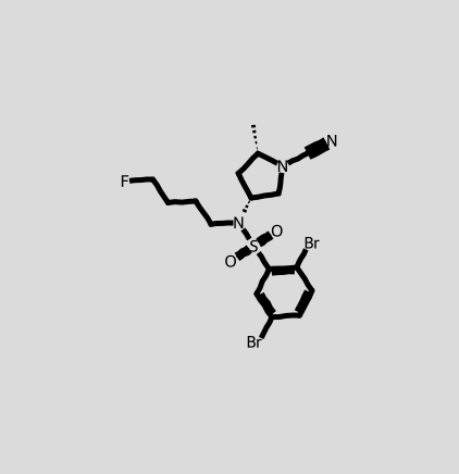 C[C@H]1C[C@@H](N(CCCCF)S(=O)(=O)c2cc(Br)ccc2Br)CN1C#N